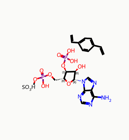 C=Cc1ccc(C=C)cc1.Nc1ncnc2c1ncn2[C@@H]1O[C@H](COP(=O)(O)OS(=O)(=O)O)[C@@H](OP(=O)(O)O)[C@H]1O